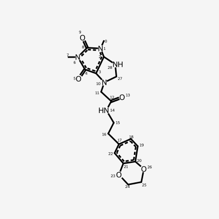 Cn1c2c(c(=O)n(C)c1=O)N(CC(=O)NCCc1ccc3c(c1)OCCO3)CN2